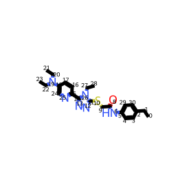 CCc1ccc(NC(=O)CSc2nnc(-c3ccc(N(CC)CC)cn3)n2CC)cc1